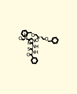 O=CNc1cn(O[C@@H](CCOCc2ccccc2)COCc2ccccc2)c(NC(=S)NC(=O)c2ccccc2)n1